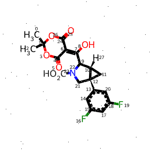 CC1(C)OC(=O)C(=C(O)C2[C@@H]3C[C@]3(c3cc(F)cc(F)c3)CN2C(=O)O)C(=O)O1